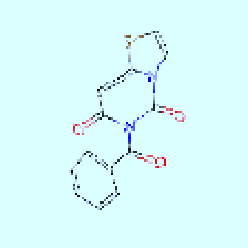 O=C(c1ccccc1)n1c(=O)cc2sccn2c1=O